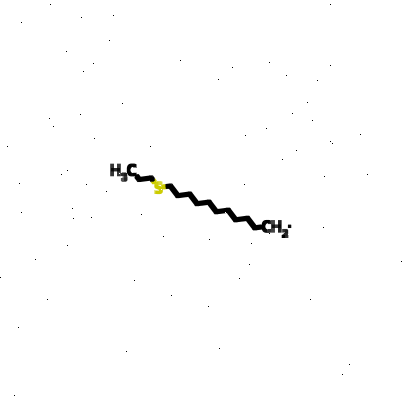 [CH2]CCCCCCCCCCSCCC